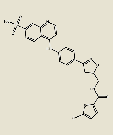 O=C(NCC1CC(c2ccc(Nc3ccnc4cc(S(=O)(=O)C(F)(F)F)ccc34)cc2)=NO1)c1ccc(Cl)s1